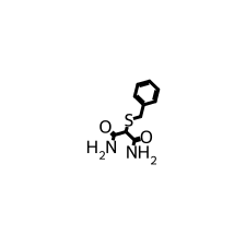 NC(=O)C(SCc1ccccc1)C(N)=O